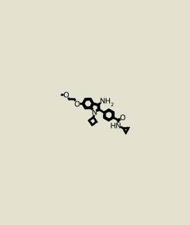 COCCOc1ccc2c(N)c(-c3ccc(C(=O)NC4CC4)cc3)n(C3CCC3)c2c1